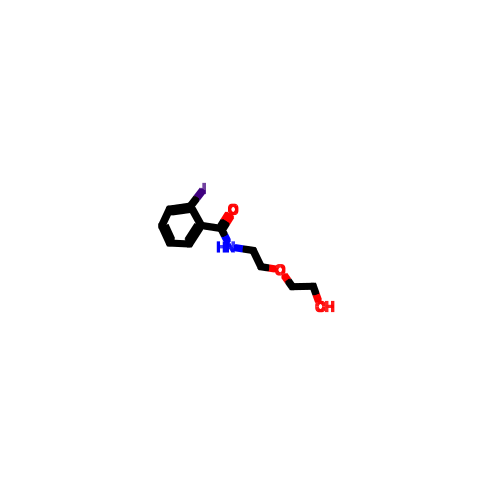 O=C(NCCOCCO)c1ccccc1I